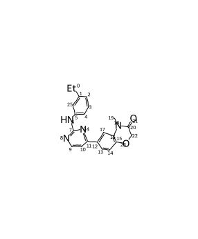 CCc1cccc(Nc2nccc(-c3ccc4c(c3)N(C)C(=O)CO4)n2)c1